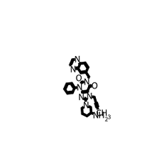 CC#CCn1c(N2CCCC(N)C2)nc2c1c(=O)n(Cc1ccc3nccnc3c1)c(=O)n2-c1ccccc1